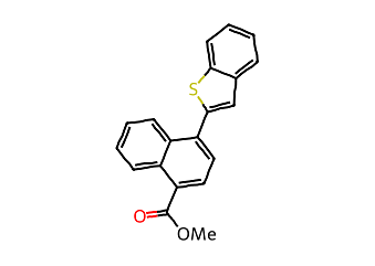 COC(=O)c1ccc(-c2cc3ccccc3s2)c2ccccc12